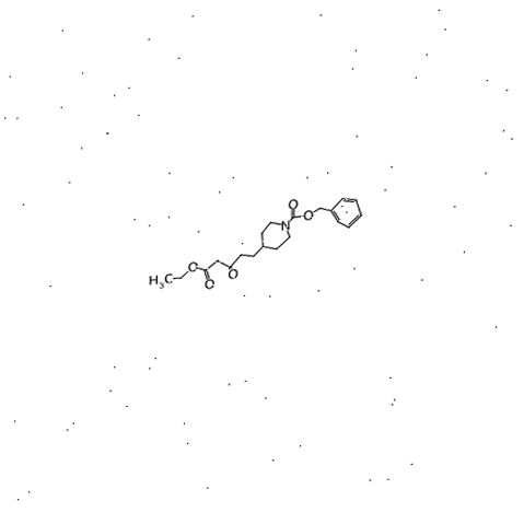 CCOC(=O)CC(=O)CCC1CCN(C(=O)OCc2ccccc2)CC1